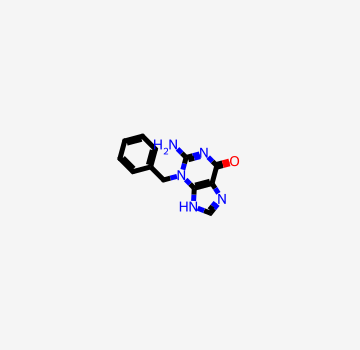 Nc1nc(=O)c2nc[nH]c2n1Cc1ccccc1